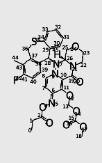 CCC(=O)O/N=c1\ccn2c(c1OCOC(=O)OC)C(=O)N1CCOC[C@H]1N2[C@@H]1c2ccccc2SCc2c1ccc(F)c2C